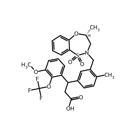 COc1cccc(C(CC(=O)O)c2ccc(C)c(CN3C[C@@H](C)Oc4ccccc4S3(=O)=O)c2)c1OC(F)(F)F